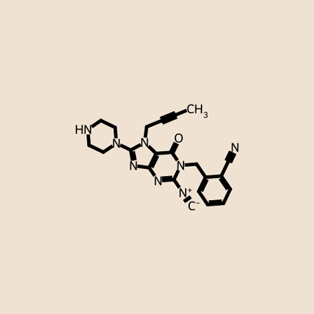 [C-]#[N+]c1nc2nc(N3CCNCC3)n(CC#CC)c2c(=O)n1Cc1ccccc1C#N